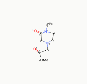 CCCCN1CCN(CC(=O)OC)CC1=O